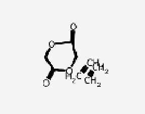 C=C.C=C.O=C1COC(=O)CO1